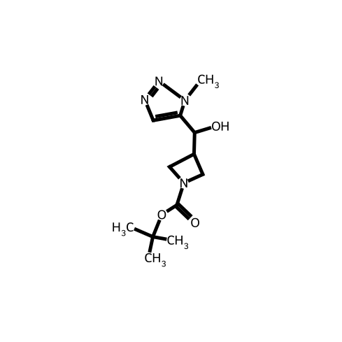 Cn1nncc1C(O)C1CN(C(=O)OC(C)(C)C)C1